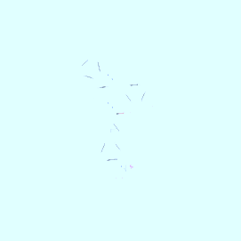 O=C(/C=C/c1cccc([N+](=O)[O-])c1)N1CCc2c([nH]c3ccccc23)C1c1ccc2c(c1)OCO2